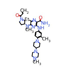 C=CC(=O)N1CC[C@@H](N(C)c2nc(Nc3ccc(N4CCC(N5CCN(C)CC5)CC4)c(C)c3)c(C(N)=O)nc2CC)C1